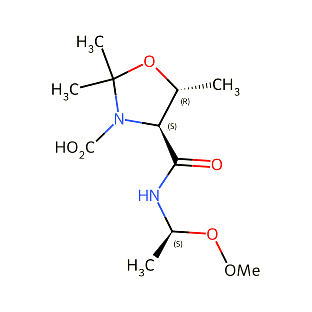 COO[C@@H](C)NC(=O)[C@@H]1[C@@H](C)OC(C)(C)N1C(=O)O